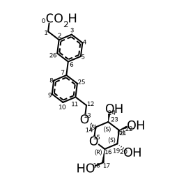 O=C(O)Cc1cccc(-c2cccc(CO[C@H]3O[C@H](CO)[C@@H](O)[C@H](O)[C@@H]3O)c2)c1